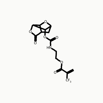 C=C(C(=O)OCCNC(=O)OC1C2CC3C(=O)OC1C3O2)C(F)(F)F